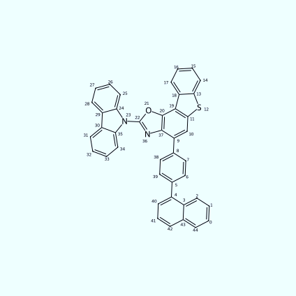 c1ccc2c(-c3ccc(-c4cc5sc6ccccc6c5c5oc(-n6c7ccccc7c7ccccc76)nc45)cc3)cccc2c1